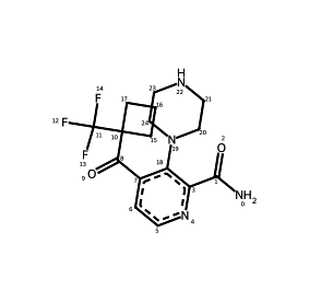 NC(=O)c1nccc(C(=O)C2(C(F)(F)F)CCC2)c1N1CCNCC1